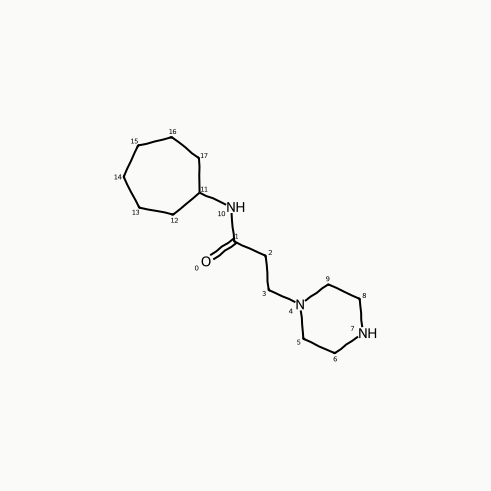 O=C(CCN1CCNCC1)NC1CCCCCC1